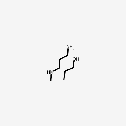 CCCO.CNCCCN